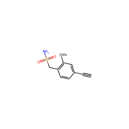 C#Cc1ccc(CS(N)(=O)=O)c(OC)c1